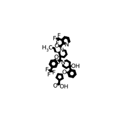 CCC[C@H]1N(C(=O)c2ncccc2C(F)(F)F)CCC[C@@]1(Oc1ccc(C(F)(F)F)cc1)C(=O)N1CCC(O)(c2ccccc2O[C@@H]2CCC(C(=O)O)C2)CC1